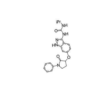 CC(C)NC(=O)Nc1n[nH]c2cc(OC3CCN(c4ccccc4)C3=O)ccc12